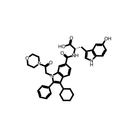 O=C(N[C@@H](Cc1c[nH]c2ccc(O)cc12)C(=O)O)c1ccc2c(C3CCCCC3)c(-c3ccccc3)n(CC(=O)N3CCOCC3)c2c1